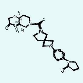 O=C1CO[C@H]2CCN(C(=O)N3CCC4(C3)CN(c3ccc(N5CCCC5=O)cc3)C4)C[C@H]2N1